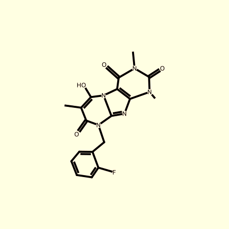 Cc1c(O)n2c3c(=O)n(C)c(=O)n(C)c3nc2n(Cc2ccccc2F)c1=O